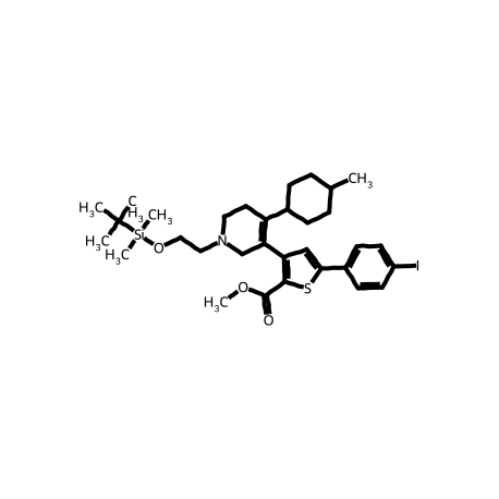 COC(=O)c1sc(-c2ccc(I)cc2)cc1C1=C(C2CCC(C)CC2)CCN(CCO[Si](C)(C)C(C)(C)C)C1